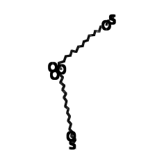 CSCOCCCCCCCCCCCCCCCC(=O)OC(=O)CCCCCCCCCCCCCCCOCSC